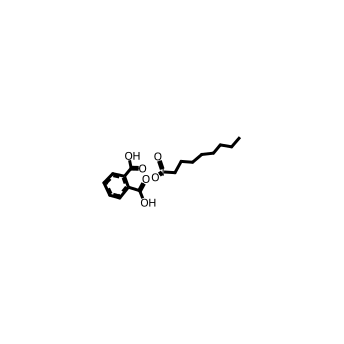 CCCCCCCCI(=O)=O.O=C(O)c1ccccc1C(=O)O